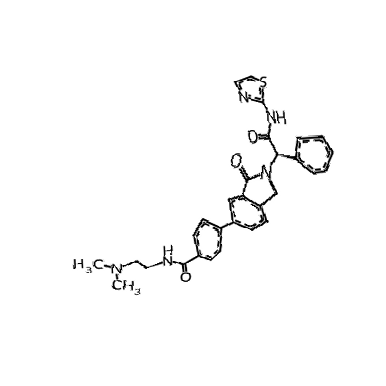 CN(C)CCNC(=O)c1ccc(-c2ccc3c(c2)C(=O)N([C@@H](C(=O)Nc2nccs2)c2ccccc2)C3)cc1